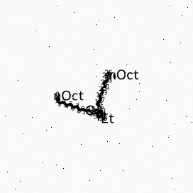 CCCCCCCC/C=C\CCCCCCCCOCC1(CSCCCCCCCC/C=C\CCCCCCCC)CN(CC)C1